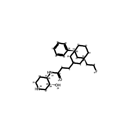 O=C(CCC1C[C@@]2(CCF)CCC[C@@](c3ccccc3)(C1)C2)N[C@@H]1CCNC[C@H]1O